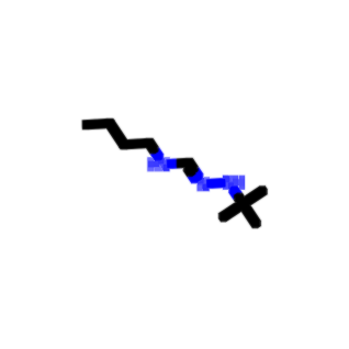 CCCCN/C=N/NC(C)(C)C